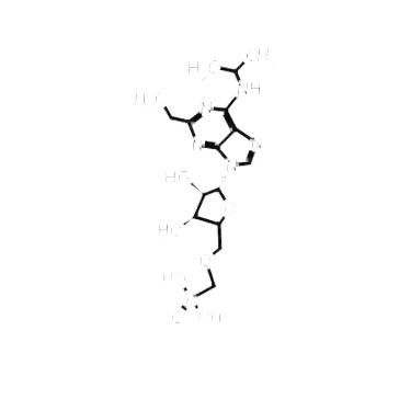 CCc1nc(NC(C)C)c2ncn([C@@H]3OC(COCP(=O)(O)O)[C@@H](O)[C@H]3O)c2n1